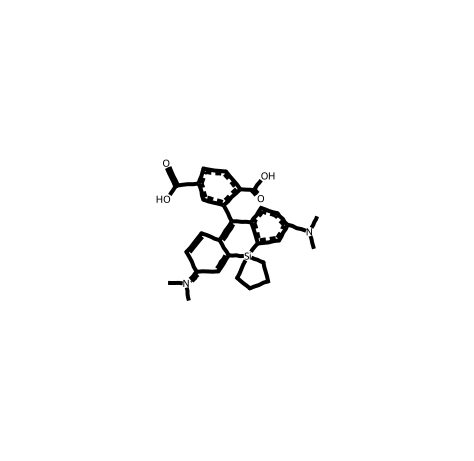 CN(C)c1ccc2c(c1)[Si]1(CCCC1)C1=CC(=[N+](C)C)C=CC1=C2c1cc(C(=O)O)ccc1C(=O)O